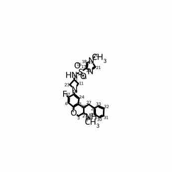 CNC1COc2cc(F)c(N3CC(NS(=O)(=O)c4cn(C)cn4)C3)cc2C1Cc1ccccc1